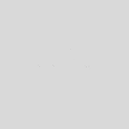 NS(=O)(=O)c1ccc2cncn2c1.O=CO